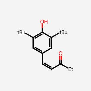 CCC(=O)/C=C\c1cc(C(C)(C)C)c(O)c(C(C)(C)C)c1